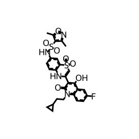 Cc1noc(C)c1S(=O)(=O)Nc1ccc2c(c1)S(=O)(=O)C=C(c1c(O)c3cc(F)ccc3n(CCC3CC3)c1=O)N2